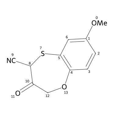 COc1ccc2c(c1)SC(C#N)C(=O)CO2